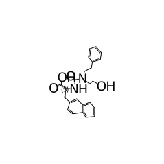 O=C(O)[C@H](Cc1ccc2ccccc2c1)NC(=O)N(CCO)CCc1ccccc1